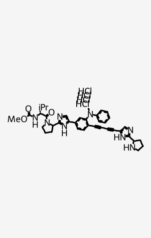 COC(=O)N[C@H](C(=O)N1CCCC1c1ncc(-c2ccc(C#CC#Cc3cnc(C4CCCN4)[nH]3)c(N(C)c3ccccc3)c2)[nH]1)C(C)C.Cl.Cl.Cl.Cl